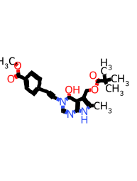 COC(=O)c1ccc(C#CN2C=Nc3[nH]c(C)c(COC(=O)C(C)(C)C)c3C2O)cc1